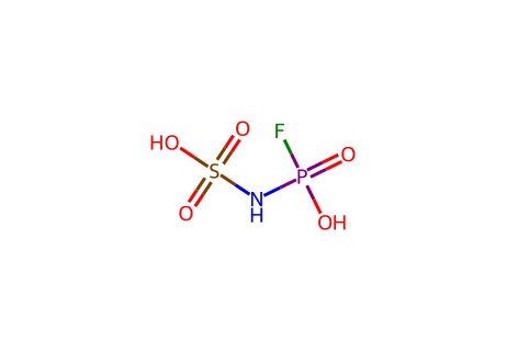 O=P(O)(F)NS(=O)(=O)O